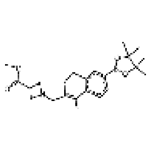 COC(=O)C1CN(CC2=C(C)c3ccc(B4OC(C)(C)C(C)(C)O4)cc3CC2)C1